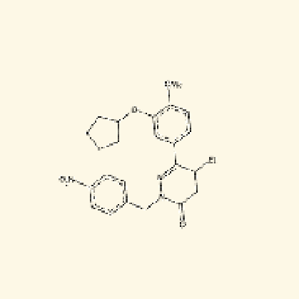 CCC1CC(=O)N(Cc2ccc([N+](=O)[O-])cc2)N=C1c1ccc(OC)c(OC2CCCC2)c1